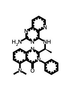 C[C@H](Nc1nc(N)nc2cccnc12)c1nc2cccc(N(C)C)c2c(=O)n1-c1ccccc1